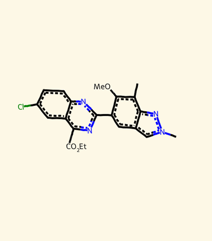 CCOC(=O)c1nc(-c2cc3cn(C)nc3c(C)c2OC)nc2ccc(Cl)cc12